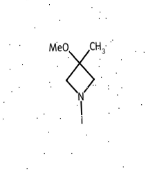 COC1(C)CN(I)C1